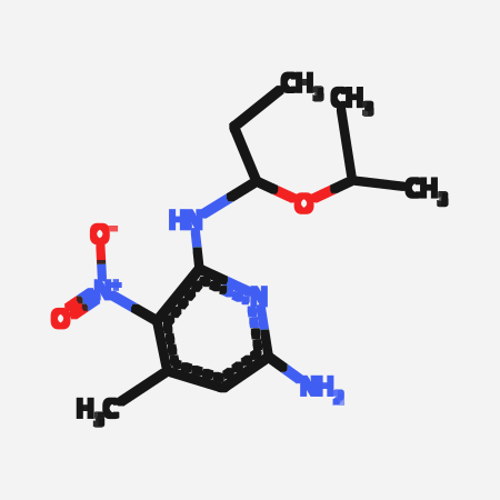 CCC(Nc1nc(N)cc(C)c1[N+](=O)[O-])OC(C)C